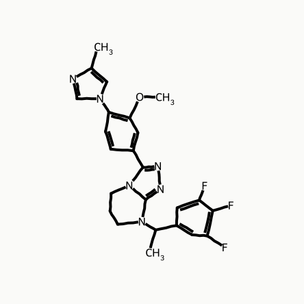 COc1cc(-c2nnc3n2CCCN3C(C)c2cc(F)c(F)c(F)c2)ccc1-n1cnc(C)c1